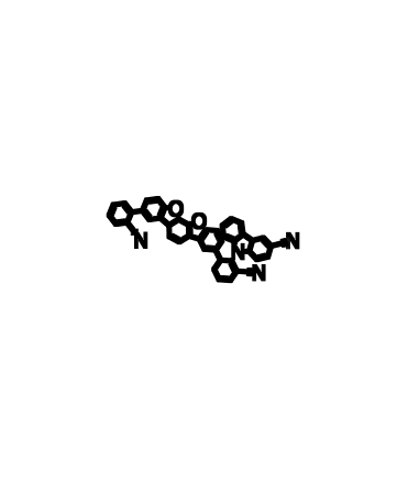 N#CC1=CC2c3ccccc3N(C3=C(C#N)C=CCC3c3ccc4oc5c(c4c3)C=CC3c4cc(-c6ccccc6C#N)ccc4OC53)C2C=C1